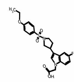 CCOc1ccc(S(=O)(=O)N2CCC(c3cn(CC(=O)O)c4ccc(F)cc34)C2)cc1